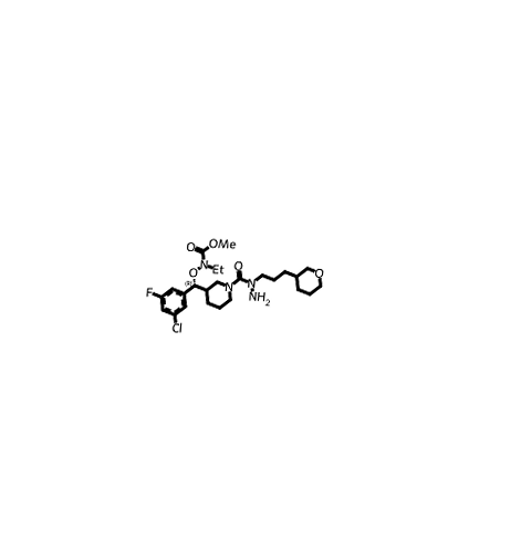 CCN(O[C@@H](c1cc(F)cc(Cl)c1)C1CCCN(C(=O)N(N)CCCC2CCCOC2)C1)C(=O)OC